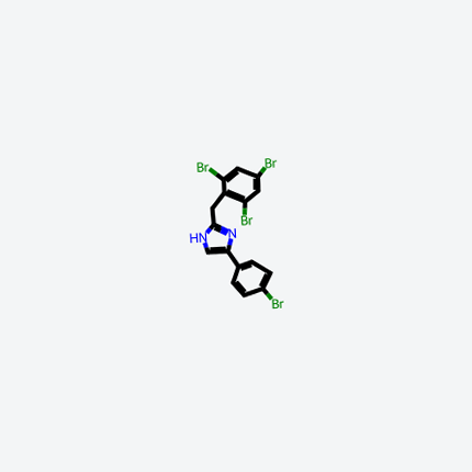 Brc1ccc(-c2c[nH]c(Cc3c(Br)cc(Br)cc3Br)n2)cc1